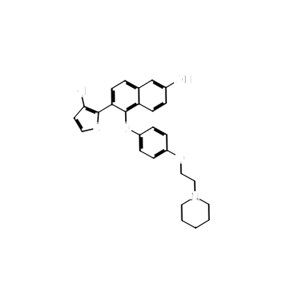 Oc1ccc2c(Oc3ccc(OCCN4CCCCC4)cc3)c(-c3sccc3Cl)ccc2c1